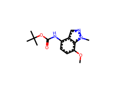 COc1ccc(NC(=O)OC(C)(C)C)c2cnn(C)c12